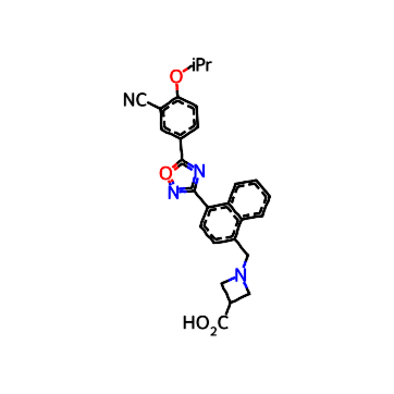 CC(C)Oc1ccc(-c2nc(-c3ccc(CN4CC(C(=O)O)C4)c4ccccc34)no2)cc1C#N